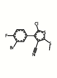 CSc1sc(Cl)c(-c2ccc(F)c(Br)c2)c1C#N